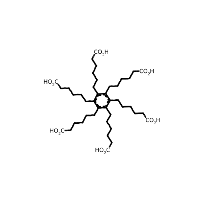 O=C(O)CCCCCc1c(CCCCCC(=O)O)c(CCCCCC(=O)O)c(CCCCCC(=O)O)c(CCCCCC(=O)O)c1CCCCCC(=O)O